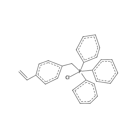 C=Cc1ccc(CP(Cl)(c2ccccc2)(c2ccccc2)c2ccccc2)cc1